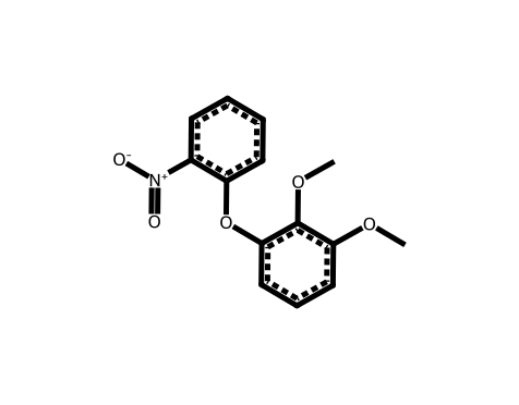 COc1cccc(Oc2ccccc2[N+](=O)[O-])c1OC